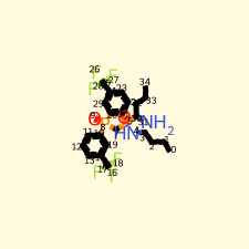 CCCCNP(=O)(CP(=O)(c1cccc(C(F)(F)F)c1)c1cccc(C(F)(F)F)c1)C(N)CCC